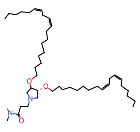 CCCCC/C=C\C/C=C\CCCCCCCCOC1CN(CCC(=O)N(C)C)C[C@H]1OCCCCCCCC/C=C\C/C=C\CCCCC